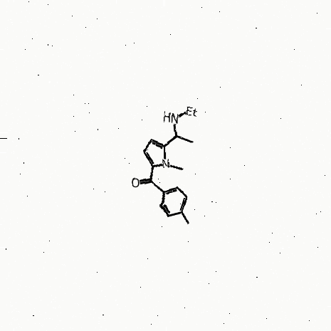 CCNC(C)c1ccc(C(=O)c2ccc(C)cc2)n1C